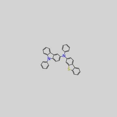 c1ccc(N(c2ccc3c(c2)sc2ccccc23)c2ccc3c(c2)c2ccccc2n3-c2ccccc2)cc1